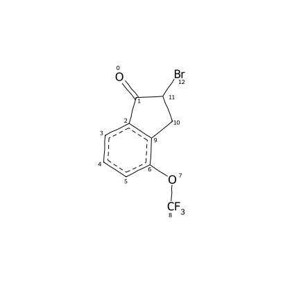 O=C1c2cccc(OC(F)(F)F)c2CC1Br